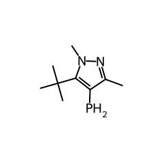 Cc1nn(C)c(C(C)(C)C)c1P